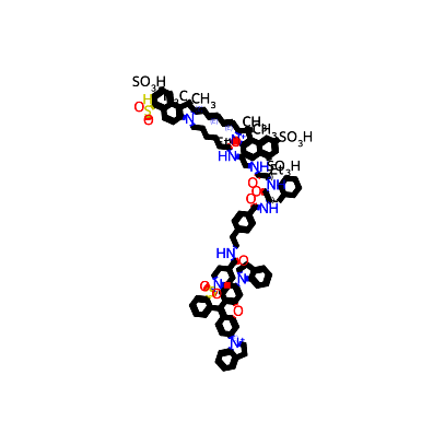 CC[C@H](NC(=O)[C@H](CC1CCCCC1)NC(=O)c1ccc(CCNC(=O)C2CCN(S(=O)(=O)c3ccccc3-c3c4cc/c(=[N+]5/CCc6ccccc65)cc-4oc4cc(N5CCc6ccccc65)ccc34)CC2)cc1)C(=O)NCCNC(=O)CCCCCN1\C(=C/C=C/C=C/C2=[N+](CC)c3ccc4c(S(=O)(=O)O)cc(S(=O)(=O)O)cc4c3C2(C)C)C(C)(C)c2c1ccc1c([SH](=O)=O)cc(S(=O)(=O)O)cc21